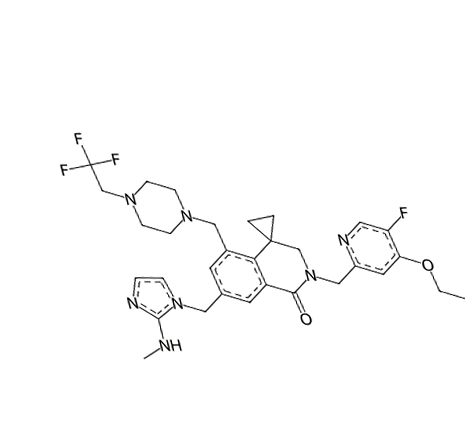 CCOc1cc(CN2CC3(CC3)c3c(CN4CCN(CC(F)(F)F)CC4)cc(Cn4ccnc4NC)cc3C2=O)ncc1F